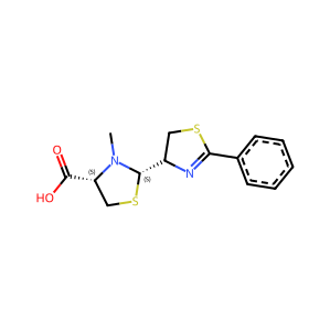 CN1[C@@H](C(=O)O)CS[C@H]1C1CSC(c2ccccc2)=N1